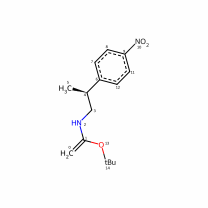 C=C(NC[C@@H](C)c1ccc([N+](=O)[O-])cc1)OC(C)(C)C